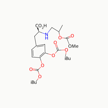 CCC(C)OC(=O)Oc1ccc(C[C@H](NCC(C)OC(=O)OC)C(=O)O)cc1OC(=O)OC(C)CC